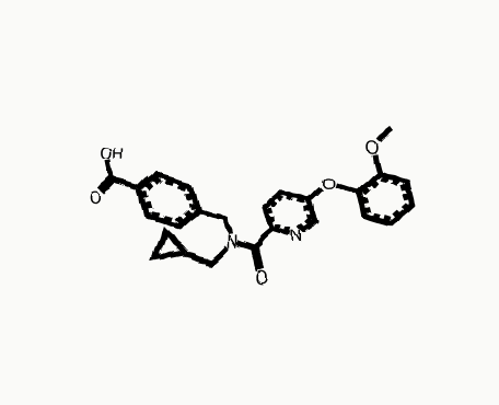 COc1ccccc1Oc1ccc(C(=O)N(Cc2ccc(C(=O)O)cc2)CC2CC2)nc1